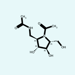 CC(=O)NC[C@@H]1[C@@H](O)[C@H](O)[C@@H](CO)N1C(C)=O